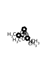 Cc1cc(C)c(C(=O)P(=O)(Cc2ccccc2)c2ccc(N(C)C)cc2)c(C)c1